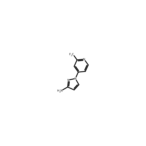 Nc1ccn(-c2ccnc(C(F)(F)F)c2)n1